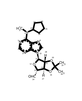 CN(c1ncnc2c1ncn2[C@@H]1O[C@@H](C=O)[C@@H]2OC(C)(C)O[C@H]21)C1CCCC1